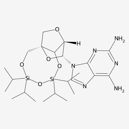 CC(C)[Si]1(C(C)C)OC[C@]23CO[C@@H](C2O[Si](C(C)C)(C(C)C)O1)[C@H](n1cnc2c(N)nc(N)nc21)O3